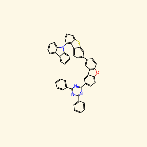 c1ccc(-c2nc(-c3ccccc3)nc(-c3ccc4oc5ccc(-c6ccc7c(c6)sc6cccc(-n8c9ccccc9c9ccccc98)c67)cc5c4c3)n2)cc1